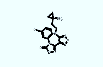 NC1(CCNc2nonc2-c2noc(=O)n2-c2cccc(Cl)c2)CC1